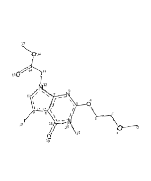 COCCOc1nc2c(c(I)cn2CC(=O)OC)c(=O)n1C